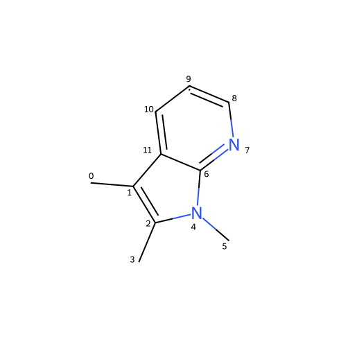 Cc1c(C)n(C)c2nc[c]cc12